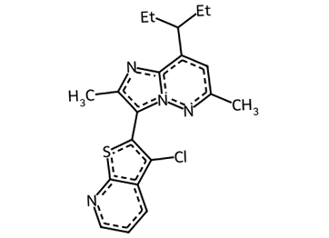 CCC(CC)c1cc(C)nn2c(-c3sc4ncccc4c3Cl)c(C)nc12